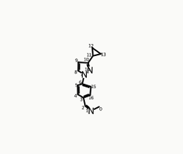 C/N=C\c1ccc(-n2ccc(C3CC3)n2)cc1